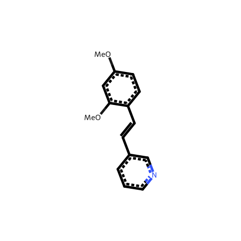 COc1ccc(/C=C/c2cccnc2)c(OC)c1